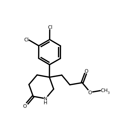 COC(=O)CCC1(c2ccc(Cl)c(Cl)c2)CCC(=O)NC1